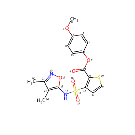 COc1ccc(OC(=O)c2sccc2S(=O)(=O)Nc2onc(C)c2C)cc1